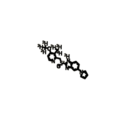 [2H]n1c([S+]([O-])Cc2nccc(OC([2H])([2H])[2H])c2C([2H])([2H])[2H])nc2cc(-n3cccc3)ccc21